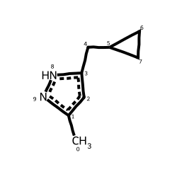 Cc1cc(CC2CC2)[nH]n1